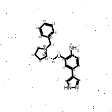 Nc1ccc(-c2cn[nH]c2)cc1OC[C@@H]1CCCN1Cc1ccccc1